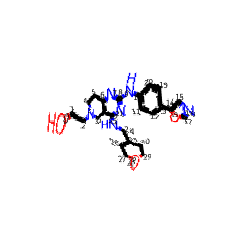 OCCN1CCc2nc(Nc3ccc(-c4cnco4)cc3)nc(NCC3CCOCC3)c2C1